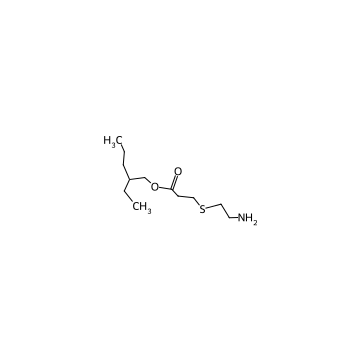 CCCC(CC)COC(=O)CCSCCN